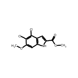 COC(=O)c1cc2c(Cl)c(Cl)c(OC)cc2[nH]1